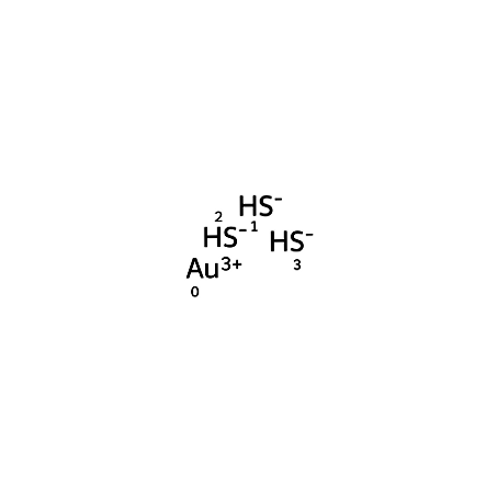 [Au+3].[SH-].[SH-].[SH-]